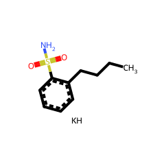 CCCCc1ccccc1S(N)(=O)=O.[KH]